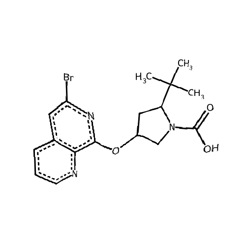 CC(C)(C)C1CC(Oc2nc(Br)cc3cccnc23)CN1C(=O)O